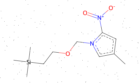 Cc1cc([N+](=O)[O-])n(COCC[Si](C)(C)C)c1